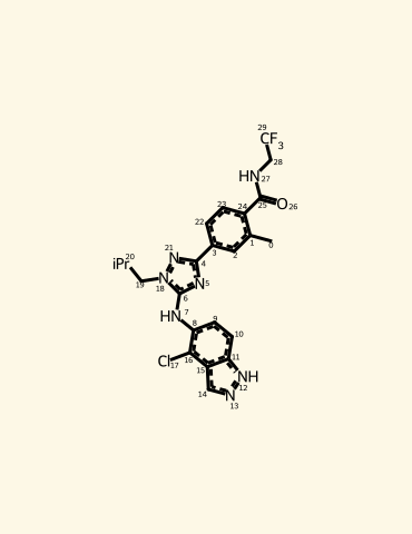 Cc1cc(-c2nc(Nc3ccc4[nH]ncc4c3Cl)n(CC(C)C)n2)ccc1C(=O)NCC(F)(F)F